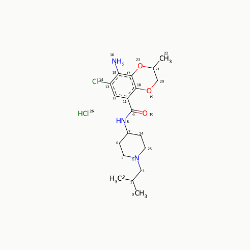 CC(C)CN1CCC(NC(=O)c2cc(Cl)c(N)c3c2OCC(C)O3)CC1.Cl